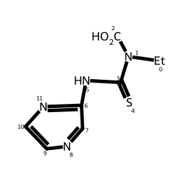 CCN(C(=O)O)C(=S)Nc1cnccn1